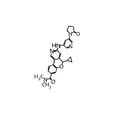 CN(C)C(=O)c1ccc2c(c1)OC(C1CC1)c1cc(Nc3cncc(N4CCCC4=O)c3)ncc1-2